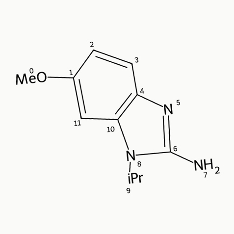 COc1ccc2nc(N)n(C(C)C)c2c1